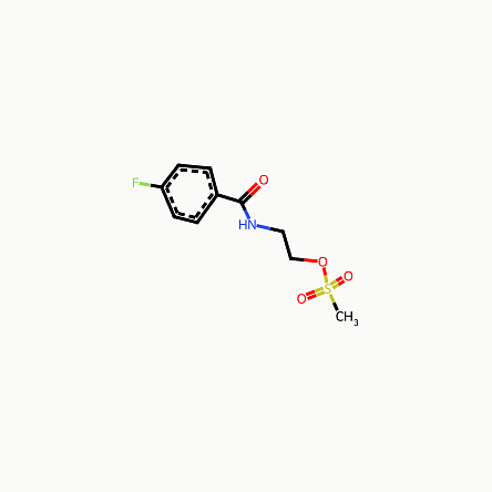 CS(=O)(=O)OCCNC(=O)c1ccc(F)cc1